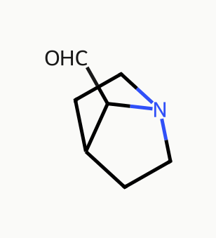 O=CC1C2CCN1CC2